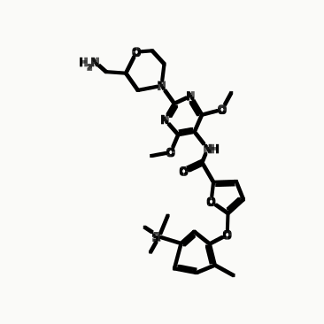 COc1nc(N2CCOC(CN)C2)nc(OC)c1NC(=O)c1ccc(Oc2cc([Si](C)(C)C)ccc2C)o1